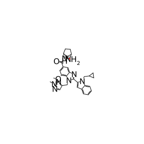 COc1cc(C(=O)N2CC3CCC2[C@@H]3N)cc2nc(-c3cc4ccccc4n3CC3CC3)n(Cc3cnn(C)n3)c12